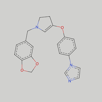 C1=C(Oc2ccc(-n3ccnc3)cc2)CCN1Cc1ccc2c(c1)OCO2